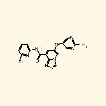 CCc1cccc(NC(=O)c2cc(Oc3cnc(C)nc3)cn3cnnc23)n1